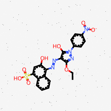 CCOc1nn(-c2ccc([N+](=O)[O-])cc2)c(O)c1/N=N/c1c(O)cc(S(=O)(=O)O)c2ccccc12